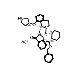 Cl.O=C(OCc1ccccc1)[C@H]1CCCC[C@H]1C(=O)N1CCc2cccc(O[C@H]3CCNC3)c2[C@H]1CN1Cc2ccccc2C1=O